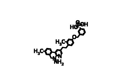 Cc1ccc2c(c1)CN(N)c1ncc(CCc3ccc(OCc4cccc(P(=O)(O)O)c4)cc3C)cc1-2